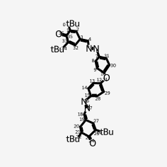 CC(C)(C)C1=CC(=CN=Nc2ccc(Oc3ccc(/N=N/C=C4C=C(C(C)(C)C)C(=O)C(C(C)(C)C)=C4)cc3)cc2)C=C(C(C)(C)C)C1=O